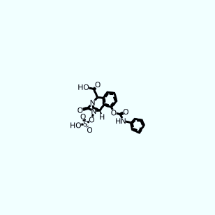 O=C(Nc1ccccc1)Oc1cccc2c1[C@H]1CN(C(=O)N1OS(=O)(=O)O)C2C(=O)O